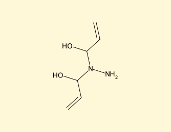 C=CC(O)N(N)C(O)C=C